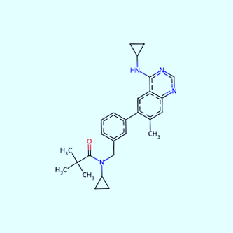 Cc1cc2ncnc(NC3CC3)c2cc1-c1cccc(CN(C(=O)C(C)(C)C)C2CC2)c1